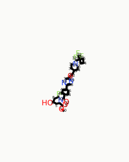 COC(=O)C1CC(O)CCN1C(=O)c1ccc(-c2cnc(OCC3CCN(CC4(C(F)(F)F)CCC4)CC3)cn2)cc1F